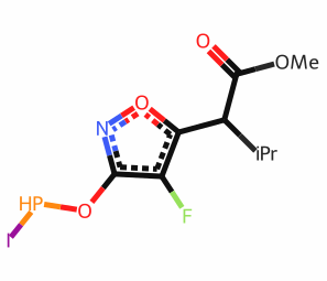 COC(=O)C(c1onc(OPI)c1F)C(C)C